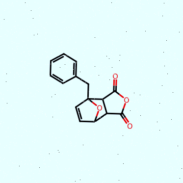 O=C1OC(=O)C2C1C1C=CC2(Cc2ccccc2)O1